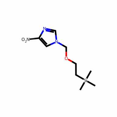 C[Si](C)(C)CCOCn1cnc([N+](=O)[O-])c1